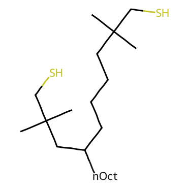 CCCCCCCCC(CCCCC(C)(C)CS)CC(C)(C)CS